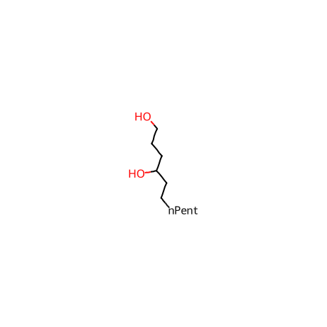 CCCCCCCC(O)CCCO